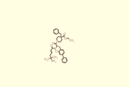 CCOC(=O)C1(Cc2ccccc2)CCN(C(=O)[C@@H](Cc2ccc(-c3ccccc3)cc2)N(C)C(=O)/C=C/CC(C)(C)N)CC1